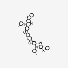 Cc1cccc(N(c2ccc3c(c2)C(C)(C)c2ccccc2-3)c2cc3oc4cc5cc6oc7cc(N(c8cccc(C)c8)c8ccc9c(c8)C(C)(C)c8ccccc8-9)c(C#N)cc7c6cc5cc4c3cc2C#N)c1